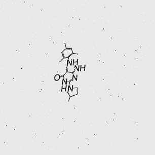 Cc1cc(C)c(N/C=C2\C(=N)N=C(N3CCC(C)C3)NC2=O)c(C)c1